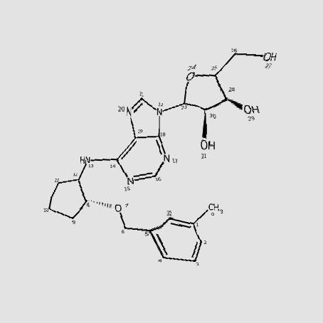 Cc1cccc(CO[C@@H]2CCCC2Nc2ncnc3c2ncn3C2OC(CO)[C@@H](O)[C@H]2O)c1